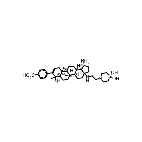 CC1(C)C(c2ccc(C(=O)O)cc2)=CC[C@]2(C)[C@H]3CC[C@@H]4[C@H]5[C@H](N)CC[C@]5(NCCN5CCS(O)(O)CC5)CC[C@@]4(C)[C@]3(C)CC[C@@H]12